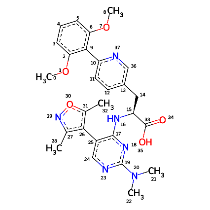 COc1cccc(OC)c1-c1ccc(C[C@H](Nc2nc(N(C)C)ncc2-c2c(C)noc2C)C(=O)O)cn1